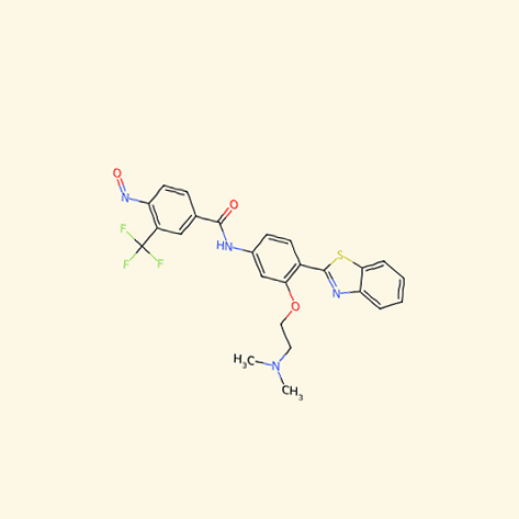 CN(C)CCOc1cc(NC(=O)c2ccc(N=O)c(C(F)(F)F)c2)ccc1-c1nc2ccccc2s1